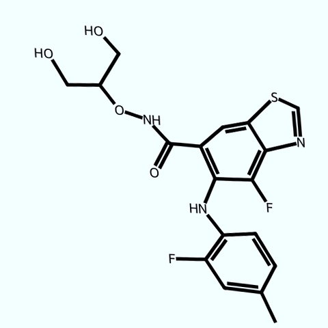 Cc1ccc(Nc2c(C(=O)NOC(CO)CO)cc3scnc3c2F)c(F)c1